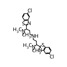 CN(C)C(CCNCCC(c1nc2cc(Cl)ccc2s1)N(C)C)c1nc2cc(Cl)ccc2s1